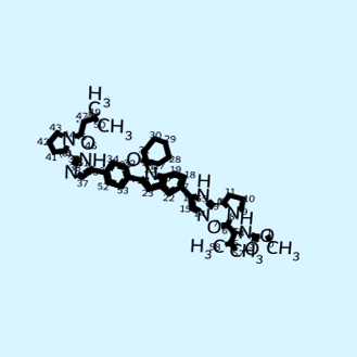 COC(=O)N[C@H](C(=O)N1CCC[C@H]1c1ncc(-c2ccc3c(c2)cc2n3C3(CCCCC3)Oc3cc(-c4cnc([C@@H]5CCCN5C(=O)[CH]C(C)C)[nH]4)ccc3-2)[nH]1)C(C)C